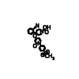 CS(=O)(=O)c1ccc(-n2ccc(OC3(c4ccccc4C#N)CCN(C(=O)O)CC3)cc2=O)cc1